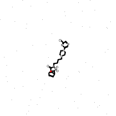 O=C1C2C3C=CC(CC3)C2S(=O)(=O)N1CCCCN1CCN(c2cncc(Cl)n2)CC1